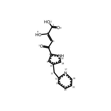 O=C(O)C(O)=CC(=O)c1cc(Cc2ccccn2)c[nH]1